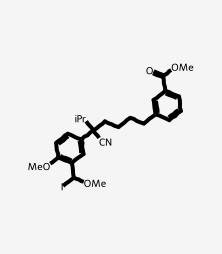 COC(=O)c1cccc(CCCCC(C#N)(c2ccc(OC)c(C(I)OC)c2)C(C)C)c1